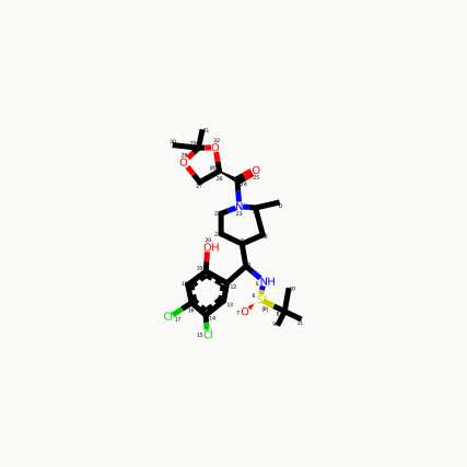 CC1CC(C(N[S@@+]([O-])C(C)(C)C)c2cc(Cl)c(Cl)cc2O)CCN1C(=O)[C@H]1COC(C)(C)O1